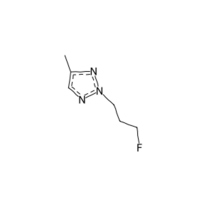 Cc1cnn(CCCF)n1